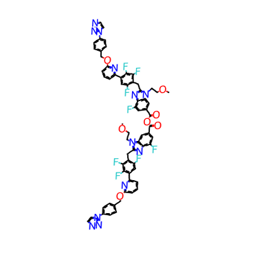 COCCn1c(Cc2c(F)cc(-c3cccc(OCc4ccc(-n5ccnn5)cc4)n3)c(F)c2F)nc2c(F)cc(C(=O)OC(=O)c3cc(F)c4nc(Cc5c(F)cc(-c6cccc(OCc7ccc(-n8ccnn8)cc7)n6)c(F)c5F)n(CCOC)c4c3)cc21